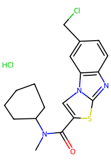 CN(C(=O)c1cn2c(nc3ccc(CCl)cc32)s1)C1CCCCC1.Cl